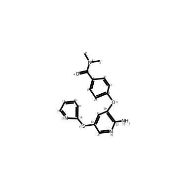 CN(C)C(=O)c1ccc(Oc2cc(Sc3ccccn3)cnc2N)cc1